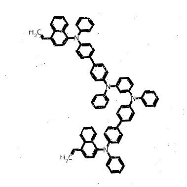 C=Cc1ccc(N(c2ccccc2)c2ccc(-c3ccc(N(c4ccccc4)c4cccc(N(c5ccccc5)c5ccc(-c6ccc(N(c7ccccc7)c7ccc(C=C)c8ccccc78)cc6)cc5)c4)cc3)cc2)c2ccccc12